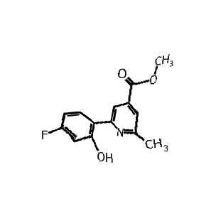 COC(=O)c1cc(C)nc(-c2ccc(F)cc2O)c1